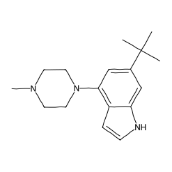 CN1CCN(c2cc(C(C)(C)C)cc3[nH]ccc23)CC1